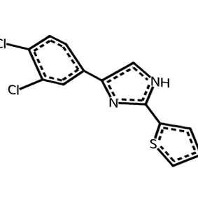 Clc1ccc(-c2c[nH]c(-c3cccs3)n2)cc1Cl